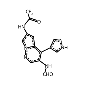 O=CNc1cnn2cc(NC(=O)C(F)(F)F)cc2c1-c1cn[nH]c1